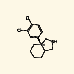 Clc1ccc([C@]23CCCCC2CNC3)cc1Cl